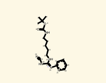 CC(C)(C)OC(=O)NCCCCCN/C(=N\c1ccccn1)NC#N